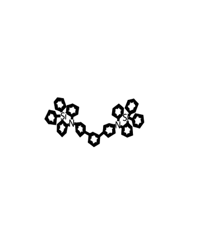 c1ccc([Si]2(c3ccccc3)c3ccccc3N(c3ccc(-c4cccc(-c5ccc(N6c7ccccc7[Si](c7ccccc7)(c7ccccc7)c7ccccc76)cc5)c4)cc3)c3ccccc32)cc1